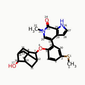 CSc1ccc(OC2C3CC4CC2CC(C3)C4O)c(-c2cn(C)c(=O)c3[nH]ccc23)c1